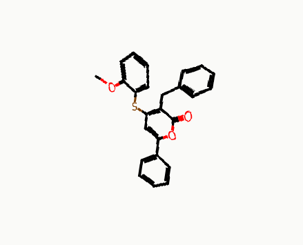 COc1ccccc1Sc1cc(-c2ccccc2)oc(=O)c1Cc1ccccc1